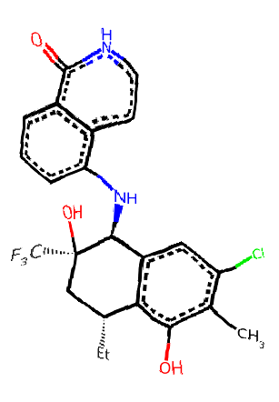 CC[C@@H]1C[C@](O)(C(F)(F)F)[C@@H](Nc2cccc3c(=O)[nH]ccc23)c2cc(Cl)c(C)c(O)c21